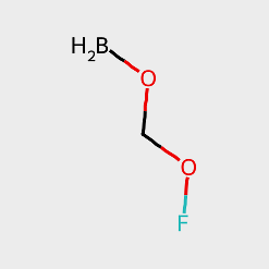 BOCOF